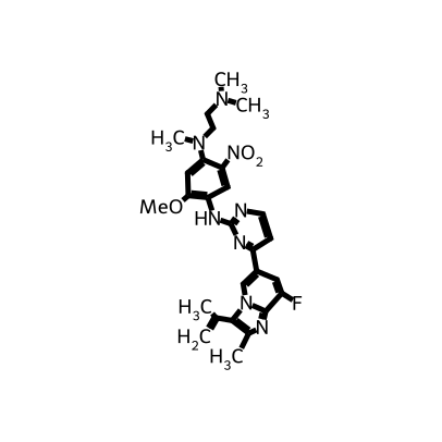 C=C(C)c1c(C)nc2c(F)cc(-c3ccnc(Nc4cc([N+](=O)[O-])c(N(C)CCN(C)C)cc4OC)n3)cn12